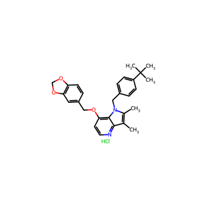 Cc1c(C)n(Cc2ccc(C(C)(C)C)cc2)c2c(OCc3ccc4c(c3)OCO4)ccnc12.Cl